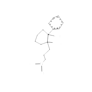 CCOC(=O)C1(CCCN(C)C)CCCCC1(O)c1ccccc1